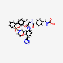 O=C(O)NC[C@H]1CC[C@H](C(=O)N[C@@H](Cc2ccc(-c3ccccc3S(=O)(=O)N3CCOCC3)cc2)C(=O)Nc2ccc(-c3nn[nH]n3)cc2)CC1